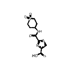 O=C(O)c1csc(C(=O)NC2CCS(=O)(=O)CC2)n1